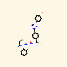 CCc1ccccc1N1/C(=N/C(=O)NC(CC)c2ccc(-c3ncn(-c4ccc(OC(F)(F)F)cc4)n3)cc2)SCCC1C